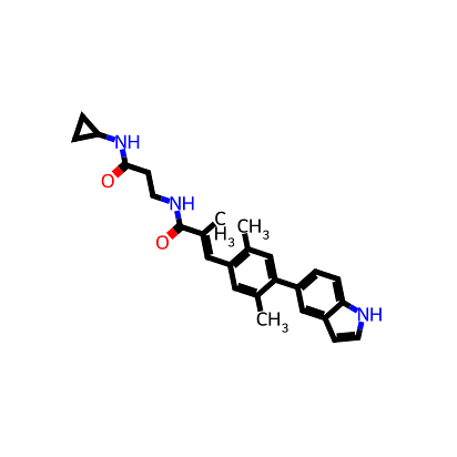 C/C(=C\c1cc(C)c(-c2ccc3[nH]ccc3c2)cc1C)C(=O)NCCC(=O)NC1CC1